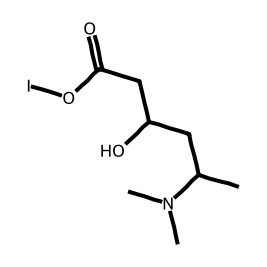 CC(CC(O)CC(=O)OI)N(C)C